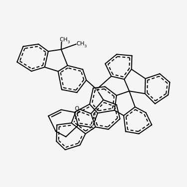 CC1(C)c2ccccc2-c2ccc(N(c3cccc4c3C3(c5ccccc5-4)c4ccccc4-c4c3ccc3c5c(sc43)CCC=C5)c3cccc4c3oc3ccccc34)cc21